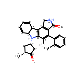 Cc1ccccc1-c1c(C)c2c(c3c1C(=O)NC3)C1C=CC=CC1N2[C@@H]1CC(=O)[C@H](C)C1